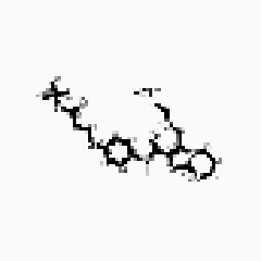 CCOCC1=C(C(=O)Nc2ccc(SCCC(=O)OC(C)(C)C)cc2)SC2=NCCCN21.Cl